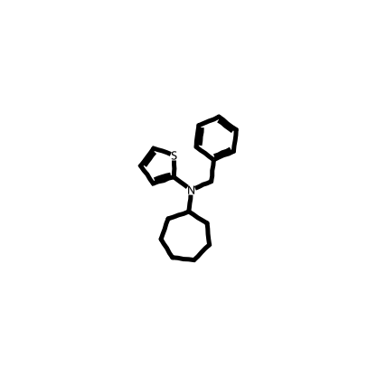 c1ccc(CN(c2cccs2)C2CCCCCC2)cc1